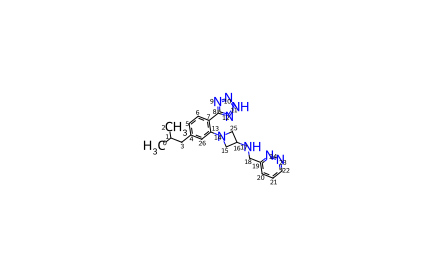 CC(C)Cc1ccc(-c2nn[nH]n2)c(N2CC(NCc3cccnn3)C2)c1